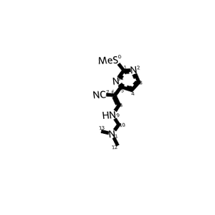 CSc1nccc(/C(C#N)=C/NCN(C)C)n1